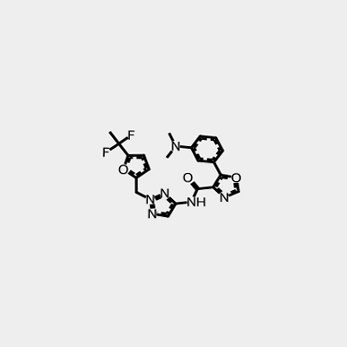 CN(C)c1cccc(-c2ocnc2C(=O)Nc2cnn(Cc3ccc(C(C)(F)F)o3)n2)c1